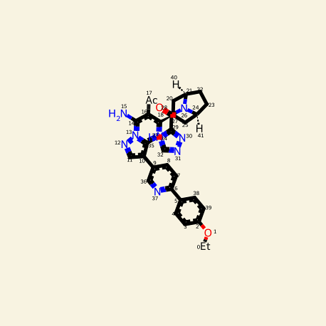 CCOc1ccc(-c2ccc(-c3cnn4c(N)c(C(C)=O)c([C@H]5C[C@H]6CC[C@@H](C5)N6C(=O)c5nnc[nH]5)nc34)cn2)cc1